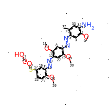 COc1cc(N=Nc2cc(OC)c(N=Nc3cc(SOOO)ccc3OC)cc2OC)c(C)cc1N